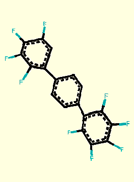 Fc1cc(-c2ccc(-c3c(F)c(F)c(F)c(F)c3F)cc2)c(F)c(F)c1F